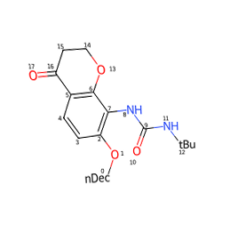 CCCCCCCCCCOc1ccc2c(c1NC(=O)NC(C)(C)C)OCCC2=O